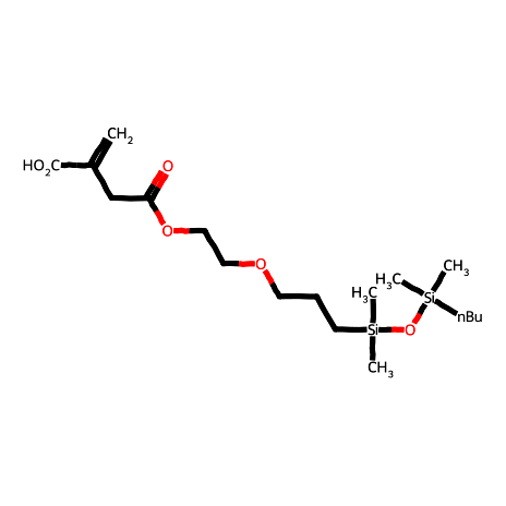 C=C(CC(=O)OCCOCCC[Si](C)(C)O[Si](C)(C)CCCC)C(=O)O